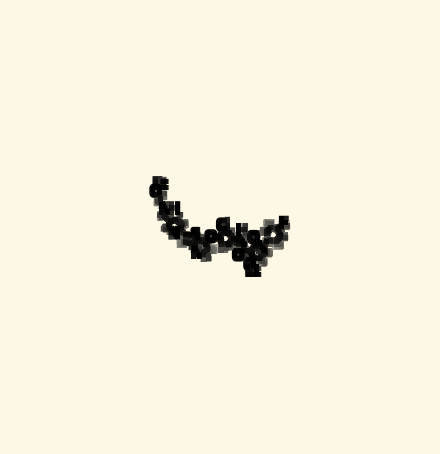 CCOCCNCc1ccc(-c2cc3nccc(Oc4ccc(NC(=O)c5c(OCC)ccn(-c6ccc(F)cc6)c5=O)cc4Cl)c3s2)nc1